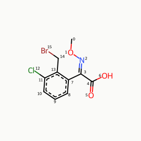 CO/N=C(/C(=O)O)c1cccc(Cl)c1CBr